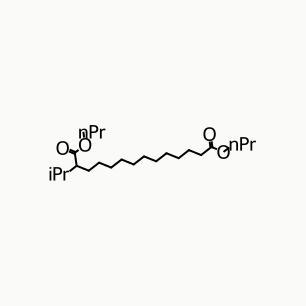 CCCOC(=O)CCCCCCCCCCCC(C(=O)OCCC)C(C)C